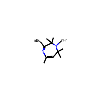 CCCCC1=NC(C)=CC(C)(C)N(CCC)C1(C)C